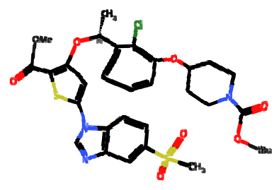 COC(=O)c1sc(-n2cnc3cc(S(C)(=O)=O)ccc32)cc1O[C@H](C)c1cccc(OC2CCN(C(=O)OC(C)(C)C)CC2)c1Cl